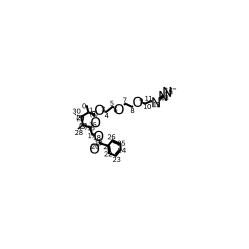 CC1[C@@H](OCCOCCOCCN=[N+]=[N-])OC(COC(=O)c2ccccc2)[C@@H](C)[C@@H]1C